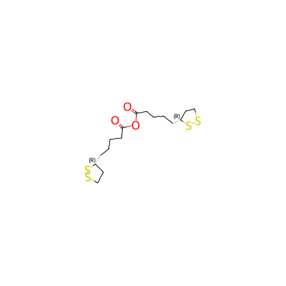 O=C(CCCC[C@@H]1CCSS1)OC(=O)CCCC[C@@H]1CCSS1